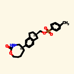 Cc1ccc(S(=O)(=O)OC[C@@H]2CCc3cc([C@H]4CCCCOC(=O)NC4)ccc3C2)cc1